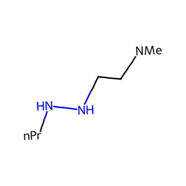 CCCNNCCNC